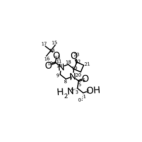 C[C@@H](O)[C@H](N)C(=O)N1CCN(C(=O)OC(C)(C)C)CC12CCC2=O